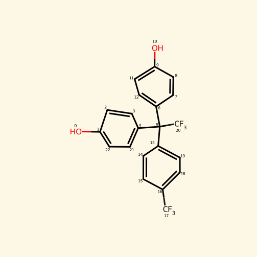 Oc1ccc(C(c2ccc(O)cc2)(c2ccc(C(F)(F)F)cc2)C(F)(F)F)cc1